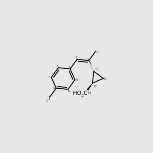 CC(=Cc1ccc(I)cc1)[C@@H]1C[C@H]1C(=O)O